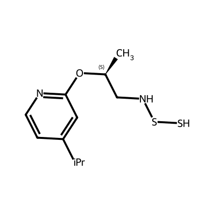 CC(C)c1ccnc(O[C@@H](C)CNSS)c1